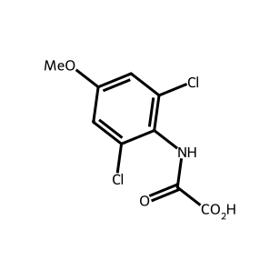 COc1cc(Cl)c(NC(=O)C(=O)O)c(Cl)c1